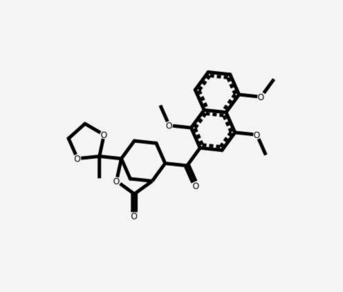 COc1c(C(=O)C2CCC3(C4(C)OCCO4)CC2C(=O)O3)cc(OC)c2c(OC)cccc12